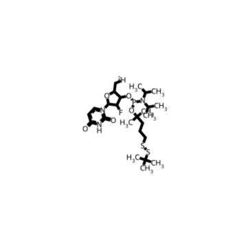 [2H]CC1OC(n2ccc(=O)[nH]c2=O)C(F)C1OP(OC(C)(C)CCCSSC(C)(C)C)N(C(C)C)C(C)C